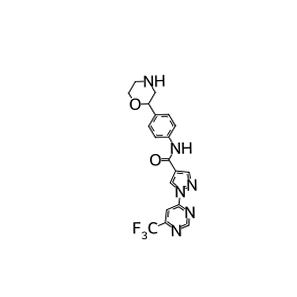 O=C(Nc1ccc(C2CNCCO2)cc1)c1cnn(-c2cc(C(F)(F)F)ncn2)c1